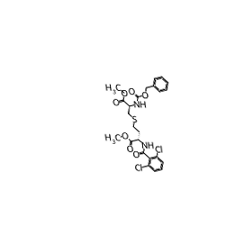 COC(=O)[C@H](CSCC[C@H](NC(=O)c1c(Cl)cccc1Cl)C(=O)OC)NC(=O)OCc1ccccc1